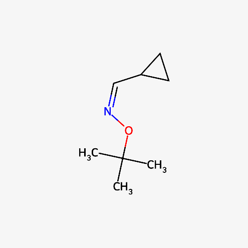 CC(C)(C)O/N=C\C1CC1